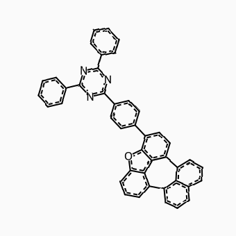 c1ccc(-c2nc(-c3ccccc3)nc(-c3ccc(-c4ccc5c6c4oc4cccc(c46)-c4cccc6cccc-5c46)cc3)n2)cc1